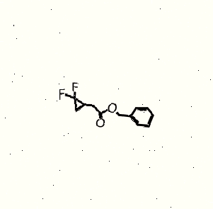 O=C(CC1CC1(F)F)OCc1ccccc1